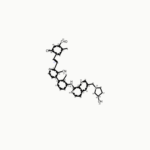 Cc1cc(/C=C/c2nccc(-c3cccc(Nc4nccc5cc(CN6CC[C@@H](O)C6)cnc45)c3C)c2C#N)c(Cl)cc1C=O